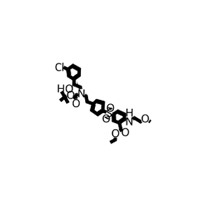 CCOC(=O)c1cc(S(=O)(=O)c2ccc(CCN(C[C@@H](O)c3cccc(Cl)c3)C(=O)OC(C)(C)C)cc2)ccc1NCCOC